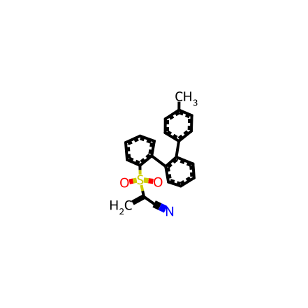 C=C(C#N)S(=O)(=O)c1ccccc1-c1ccccc1-c1ccc(C)cc1